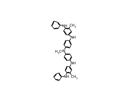 Cc1cc(Nc2ccc(N(C)c3ccc(Nc4ccc(Nc5ccccc5)c(C)c4)cc3)cc2)ccc1Nc1ccccc1